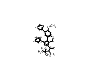 COc1cc2c(cc1-c1cscn1)-c1c(c(C(=O)N(C)C(C)(C)C)nn1-c1ccsc1)CO2